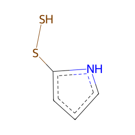 SSc1ccc[nH]1